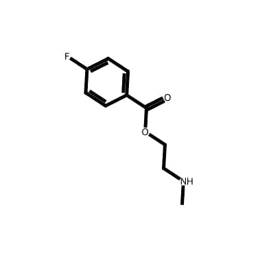 CNCCOC(=O)c1ccc(F)cc1